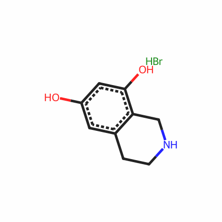 Br.Oc1cc(O)c2c(c1)CCNC2